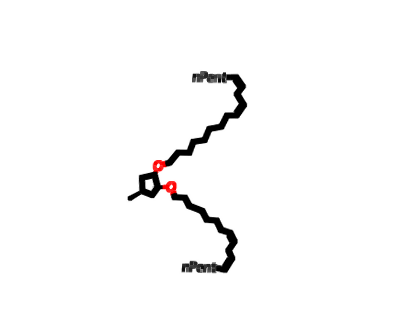 CCCCC/C=C\C/C=C\CCCCCCCCO[C@@H]1C[C@H](C)C[C@@H]1OCCCCCCC/C=C\C/C=C\CCCCC